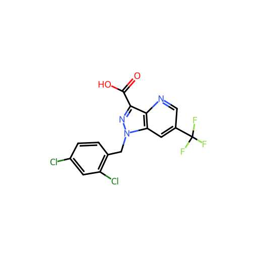 O=C(O)c1nn(Cc2ccc(Cl)cc2Cl)c2cc(C(F)(F)F)cnc12